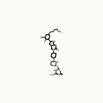 C=CC[C@H](C[C@@H]1CCC[C@@H](c2ccc(-n3cc4cc(-c5cc(CCC[C@H](C)N)cc(Cl)c5F)[nH]c4nc3=O)cc2)N1)NC(=N)N